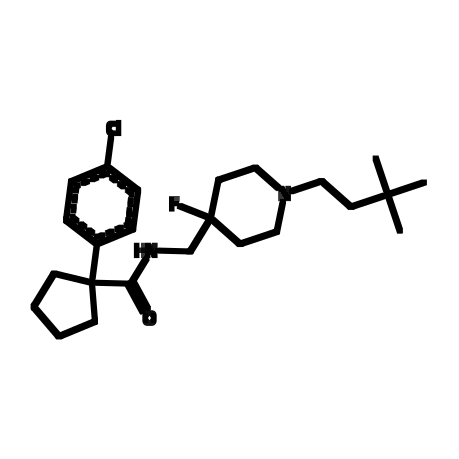 CC(C)(C)CCN1CCC(F)(CNC(=O)C2(c3ccc(Cl)cc3)CCCC2)CC1